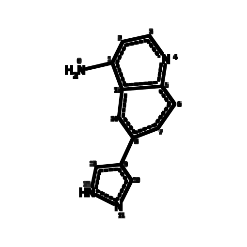 Nc1ccnc2ccc(-c3cn[nH]c3)cc12